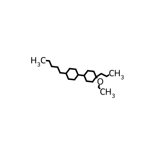 CCCCCC1CCC(C2CCC(CCC)(OCC)CC2)CC1